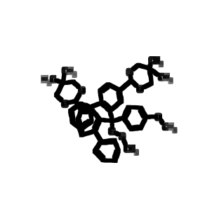 COOC(c1ccc(OC)cc1)(c1cc(C2OCC(C)(C)CO2)ccc1-c1ccccc1)c1cc(C2OCC(C)(C)CO2)ccc1-c1ccccc1